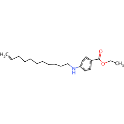 C=CCCCCCCCCCNc1ccc(C(=O)OCC)cc1